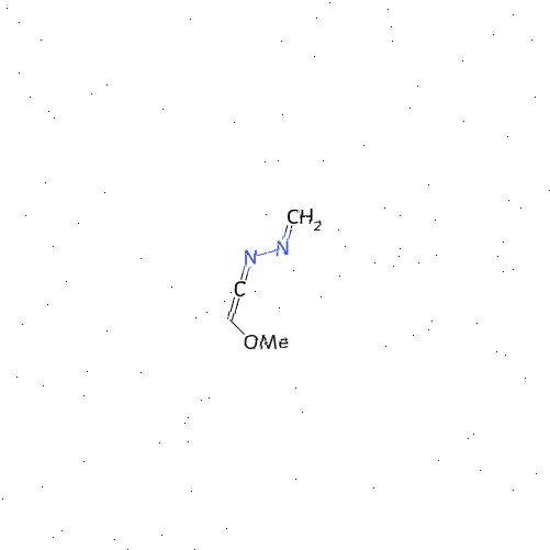 C=NN=C=COC